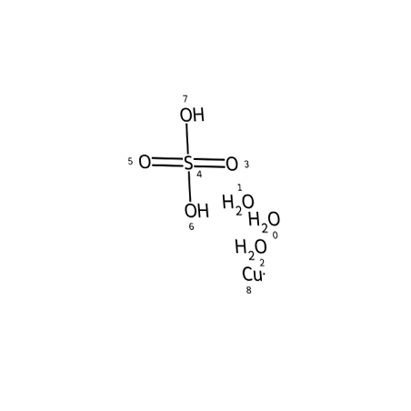 O.O.O.O=S(=O)(O)O.[Cu]